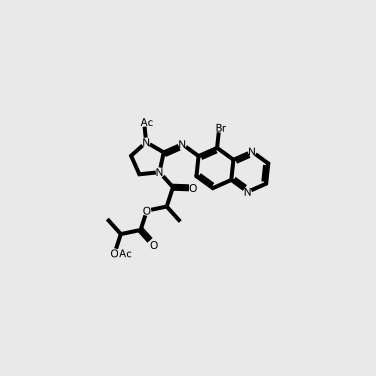 CC(=O)OC(C)C(=O)OC(C)C(=O)N1CCN(C(C)=O)/C1=N/c1ccc2nccnc2c1Br